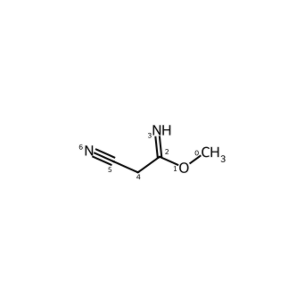 COC(=N)CC#N